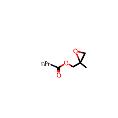 CCCC(=O)OCC1(C)CO1